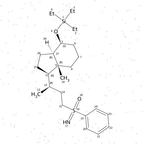 CC[Si](CC)(CC)O[C@H]1CCC[C@]2(C)[C@@H]([C@H](C)CCS(=N)(=O)c3ccccc3)CC[C@@H]12